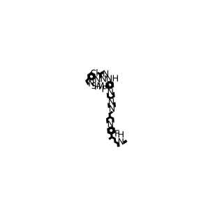 C=CNC(=C)CCC(C)c1ccc(N2CCC(CCN3CCN(C4CCN(c5ccc(Nc6ncc(Cl)c(Nc7cccc8c7N(SC)CC8)n6)cc5F)CC4)CC3)CC2)cc1F